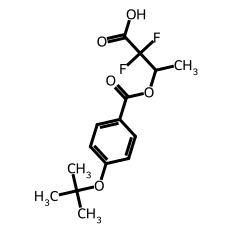 CC(OC(=O)c1ccc(OC(C)(C)C)cc1)C(F)(F)C(=O)O